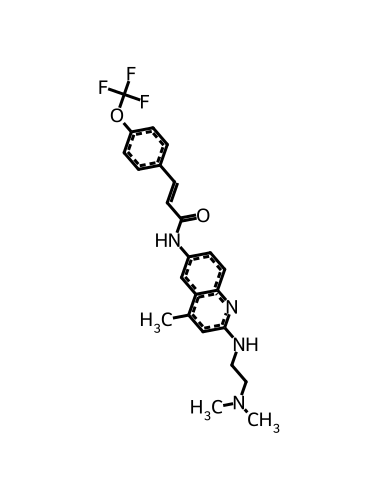 Cc1cc(NCCN(C)C)nc2ccc(NC(=O)C=Cc3ccc(OC(F)(F)F)cc3)cc12